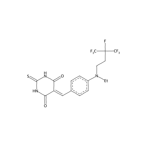 CCN(CCC(F)(C(F)(F)F)C(F)(F)F)c1ccc(C=C2C(=O)NC(=S)NC2=O)cc1